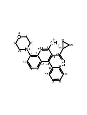 Cc1nc2c(N3CCOCC3)cccc2c(-c2ccccc2)c1C(=O)C1CC1